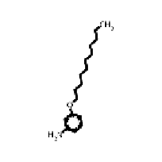 CCCCCCCCCCCOc1cccc(N)c1